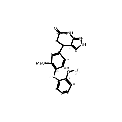 COc1cc(C2CC(=O)Nc3n[nH]cc32)ccc1Oc1ccccc1OC(F)(F)F